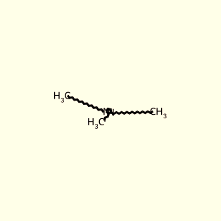 CCCCCCCCCCCCCCCCN1C=CN(CCCCCCCCCCCCCCCC)C1CCCC